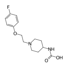 O=C(O)NC1CCN(CCOc2ccc(F)cc2)CC1